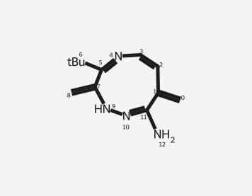 C=c1ccnc(C(C)(C)C)c(=C)[nH]nc1N